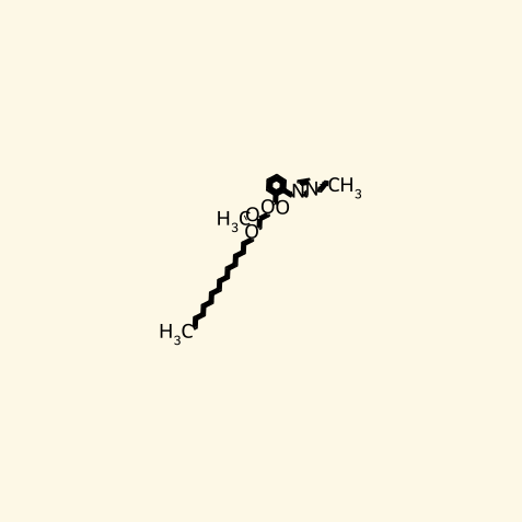 CCCCCCCCCCCCCCCCOCC(COC(=O)c1ccccc1Cn1cc[n+](CCC)c1)OC